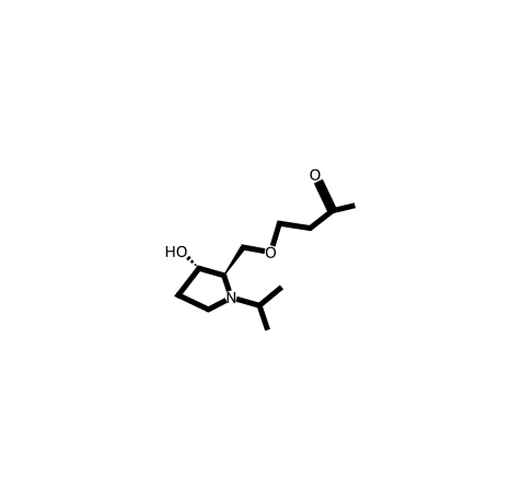 CC(=O)CCOC[C@@H]1[C@@H](O)CCN1C(C)C